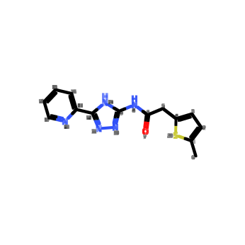 Cc1ccc(CC(=O)Nc2nnc(-c3ccccn3)[nH]2)s1